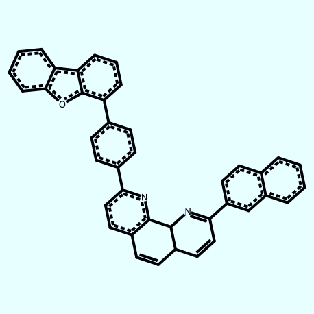 C1=CC2C=Cc3ccc(-c4ccc(-c5cccc6c5oc5ccccc56)cc4)nc3C2N=C1c1ccc2ccccc2c1